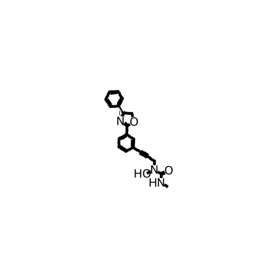 CNC(=O)N(O)CC#Cc1cccc(C2=N[C@@H](c3ccccc3)CO2)c1